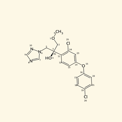 COC[C@@](O)(Cn1cncn1)c1ccc(Oc2ccc(Cl)cc2)cc1Cl